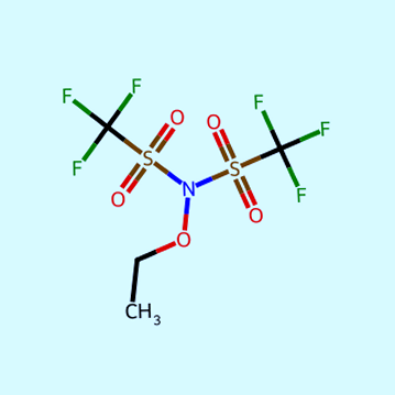 CCON(S(=O)(=O)C(F)(F)F)S(=O)(=O)C(F)(F)F